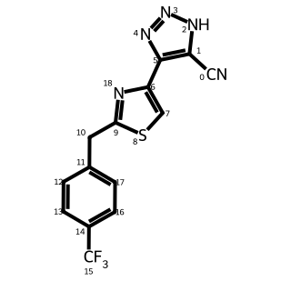 N#Cc1[nH]nnc1-c1csc(Cc2ccc(C(F)(F)F)cc2)n1